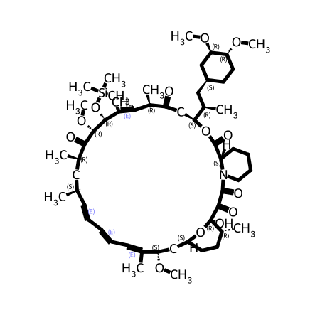 CO[C@H]1C[C@@H]2CC[C@@H](C)[C@@](O)(O2)C(=O)C(=O)N2CCCC[C@H]2C(=O)O[C@H]([C@H](C)C[C@@H]2CC[C@@H](OC)[C@H](OC)C2)CC(=O)[C@H](C)/C=C(\C)[C@@H](O[Si](C)(C)C)[C@@H](OC)C(=O)[C@H](C)C[C@H](C)/C=C/C=C/C=C/1C